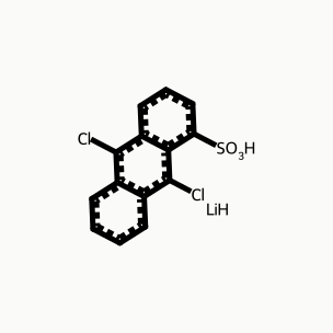 O=S(=O)(O)c1cccc2c(Cl)c3ccccc3c(Cl)c12.[LiH]